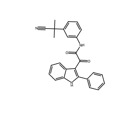 CC(C)(C#N)c1cccc(NC(=O)C(=O)c2c(-c3ccccc3)[nH]c3ccccc23)c1